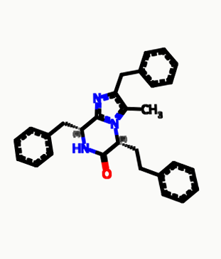 Cc1c(Cc2ccccc2)nc2n1[C@H](CCc1ccccc1)C(=O)N[C@@H]2Cc1ccccc1